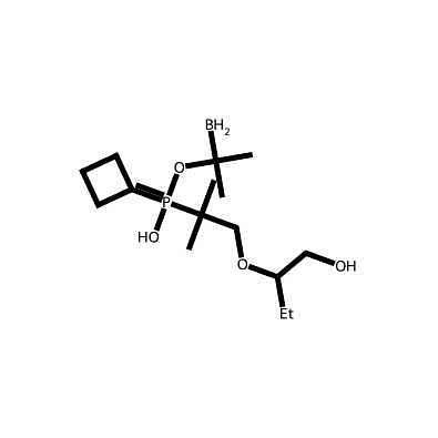 BC(C)(C)OP(O)(=C1CCC1)C(C)(C)COC(CC)CO